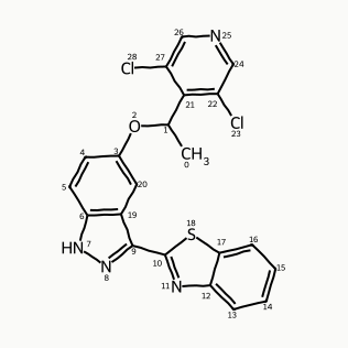 CC(Oc1ccc2[nH]nc(-c3nc4ccccc4s3)c2c1)c1c(Cl)cncc1Cl